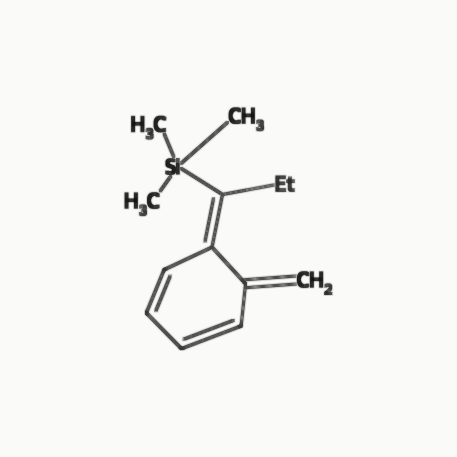 C=c1cccc/c1=C(/CC)[Si](C)(C)C